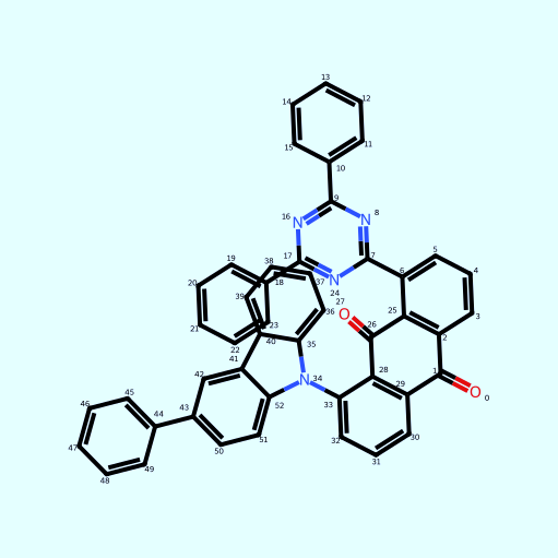 O=C1c2cccc(-c3nc(-c4ccccc4)nc(-c4ccccc4)n3)c2C(=O)c2c1cccc2-n1c2ccccc2c2cc(-c3ccccc3)ccc21